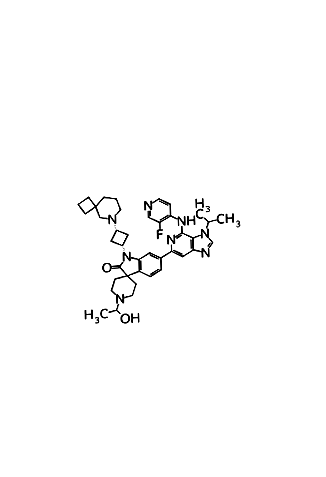 CC(O)N1CCC2(CC1)C(=O)N([C@H]1C[C@@H](N3CCCC4(CCC4)C3)C1)c1cc(-c3cc4ncn(C(C)C)c4c(Nc4ccncc4F)n3)ccc12